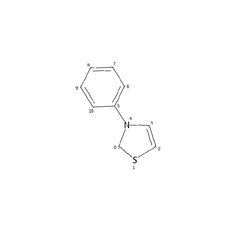 [CH]1SC=CN1c1ccccc1